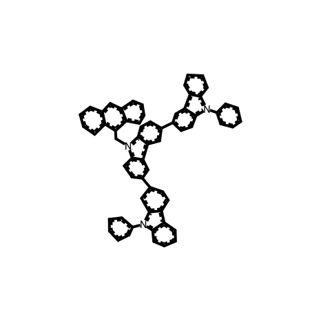 c1ccc(-n2c3ccccc3c3cc(-c4ccc5c(c4)c4cc(-c6ccc7c8ccccc8n(-c8ccccc8)c7c6)ccc4n5Cc4c5ccccc5cc5ccccc45)ccc32)cc1